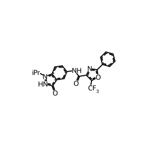 CC(C)n1[nH]c(=O)c2cc(NC(=O)c3nc(-c4ccccc4)oc3C(F)(F)F)ccc21